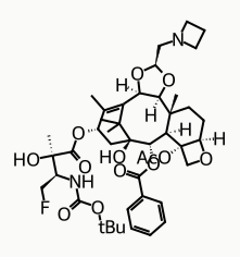 CC(=O)O[C@@]12CO[C@@H]1CC[C@@]1(C)[C@@H]3O[C@H](CN4CCC4)O[C@@H]3C3=C(C)[C@@H](OC(=O)[C@](C)(O)[C@H](CF)NC(=O)OC(C)(C)C)C[C@@](O)([C@@H](OC(=O)c4ccccc4)[C@@H]12)C3(C)C